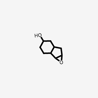 OC1CCC2C(C1)CC1OC12